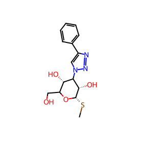 CS[C@@H]1OC(CO)[C@H](O)C(n2cc(-c3ccccc3)nn2)[C@@H]1O